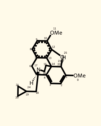 COC1=CC=C2[C@H]3Cc4ccc(OC)c5c4C2(CCN3CC2CC2)[C@H]1O5